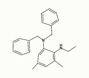 CCNc1c(C)cc(C)cc1N(Cc1ccccc1)Cc1ccccc1